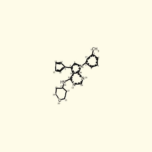 Cc1cccc(-n2cc(C3=C=CC=C3)c3c(NC4CCOCC4)ncnc32)c1